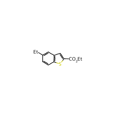 CCOC(=O)c1cc2cc(CC)ccc2s1